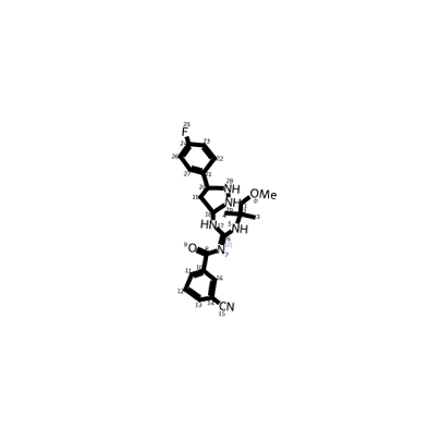 COCC(C)(C)N/C(=N/C(=O)c1cccc(C#N)c1)NC1CC(c2ccc(F)cc2)NN1